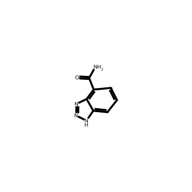 NC(=O)c1[c]ccc2[nH]nnc12